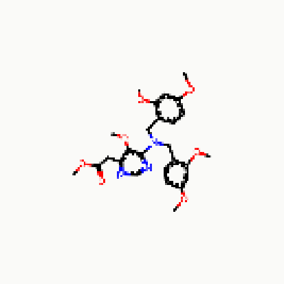 COC(=O)Cc1ncnc(N(Cc2ccc(OC)cc2OC)Cc2ccc(OC)cc2OC)c1OC